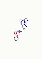 O=C(CNCc1ccc2c(c1)ncc1cccn12)N1CCCC1